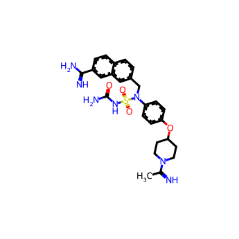 CC(=N)N1CCC(Oc2ccc(N(Cc3ccc4ccc(C(=N)N)cc4c3)S(=O)(=O)NC(N)=O)cc2)CC1